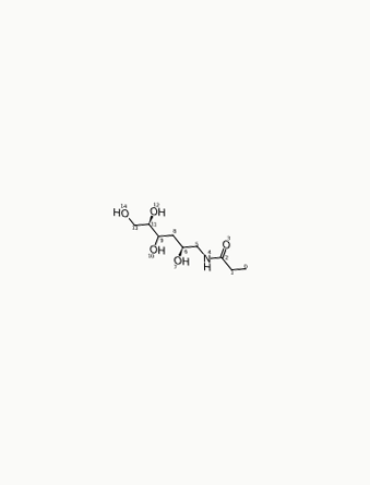 CCC(=O)NC[C@@H](O)CC(O)[C@H](O)CO